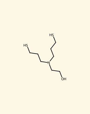 OCCN(CCCS)CCCS